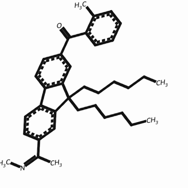 CCCCCCC1(CCCCCC)c2cc(C(=O)c3ccccc3C)ccc2-c2ccc(/C(C)=N\C)cc21